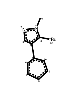 Cn1ncc(-c2ccccc2)c1C(C)(C)C